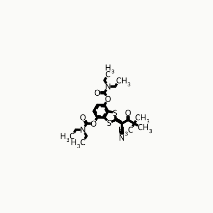 CCN(CC)C(=O)Oc1ccc(OC(=O)N(CC)CC)c2c1SC(=C(C#N)C(=O)C(C)(C)C)S2